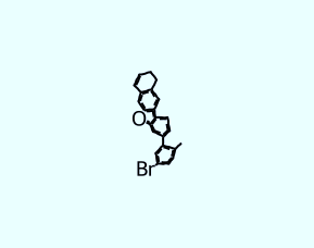 Cc1ccc(Br)cc1-c1ccc2c(c1)oc1cc3c(cc12)CCC=C3